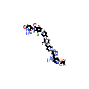 C[C@H]1CN(CC2CCN(c3ccc4c(c3F)CN(C3CCC(=O)NC3=O)C4=O)CC2)CCN1CC1CCN(c2cc(-c3n[nH]c4cnc(OC5(C)CC5)cc34)ncn2)CC1